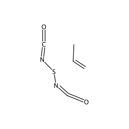 C=CC.O=C=NSN=C=O